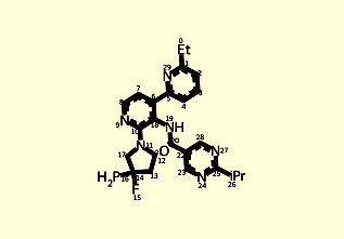 CCc1cccc(-c2ccnc(N3CCC(F)(P)C3)c2NC(=O)c2cnc(C(C)C)nc2)n1